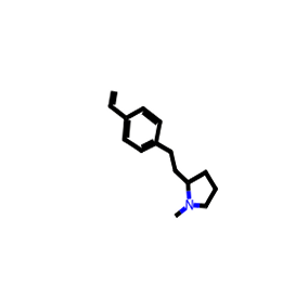 C=Cc1ccc(CCC2CCCN2C)cc1